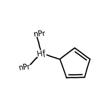 CC[CH2][Hf]([CH2]CC)[CH]1C=CC=C1